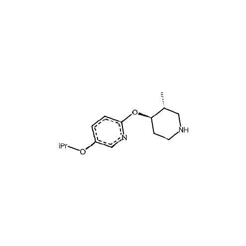 CC(C)Oc1ccc(O[C@@H]2CCNC[C@H]2C)nc1